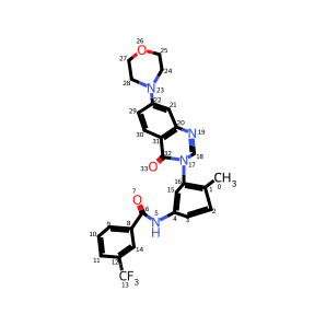 Cc1ccc(NC(=O)c2cccc(C(F)(F)F)c2)cc1-n1cnc2cc(N3CCOCC3)ccc2c1=O